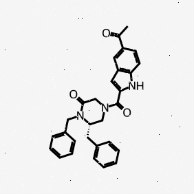 CC(=O)c1ccc2[nH]c(C(=O)N3CC(=O)N(Cc4ccccc4)[C@@H](Cc4ccccc4)C3)cc2c1